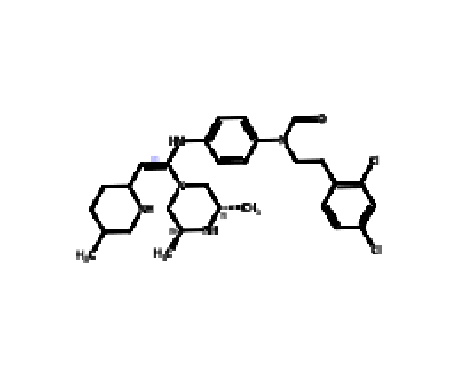 CC1CCC(/C=C(/Nc2ccc(N(C=O)CCc3ccc(Cl)cc3Cl)cc2)N2C[C@H](C)N[C@@H](C)C2)NC1